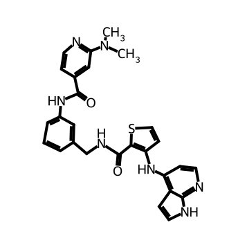 CN(C)c1cc(C(=O)Nc2cccc(CNC(=O)c3sccc3Nc3ccnc4[nH]ccc34)c2)ccn1